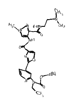 CN(C)CCNC(=O)c1nn(C)cc1NC(=O)c1coc(-c2ccnc(N(CC(F)(F)F)C(=O)OC(C)(C)C)c2)n1